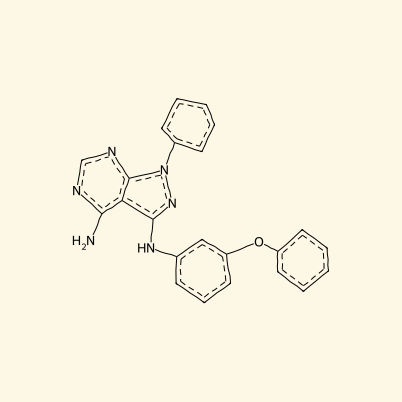 Nc1ncnc2c1c(Nc1cccc(Oc3ccccc3)c1)nn2-c1ccccc1